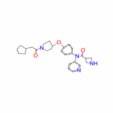 O=C(CC1CCCC1)N1CCC(Oc2ccc(N(C(=O)C3CNC3)c3cccnc3)cc2)CC1